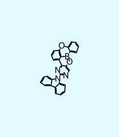 c1ccc2c(c1)Oc1cccc3c1B2Oc1cnc(-n2c4ccccc4c4ccccc42)nc1-3